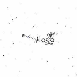 CNS(=O)(=O)Oc1ccccc1C(=O)Oc1ccc(CNC(=O)CCCC/C=C/C(C)C)cc1OC